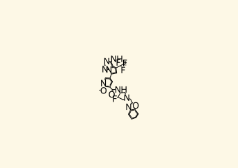 COc1ncc(-c2cc(C(F)(F)F)c3c(N)ncnn23)cc1C(=O)NC1CN(Cc2nc3ccccc3o2)CC1F